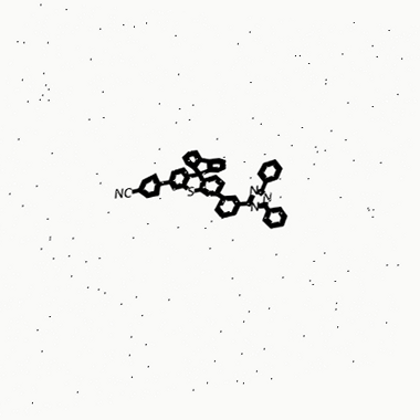 N#Cc1ccc(-c2ccc3c(c2)Sc2cc(-c4cccc(-c5nc(-c6ccccc6)nc(-c6ccccc6)n5)c4)ccc2C32c3ccccc3-c3ccccc32)cc1